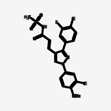 COc1ccc(-n2cc(C=CC(=O)NS(C)(=O)=O)c(-c3ccc(Cl)c(F)c3)n2)cc1Cl